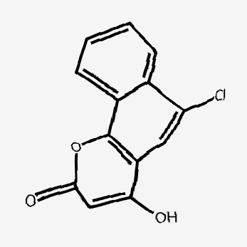 O=c1cc(O)c2cc(Cl)c3ccccc3c2o1